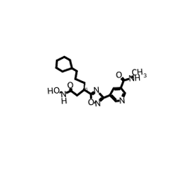 CNC(=O)c1cncc(-c2noc([C@H](CCCC3CCCCC3)CC(=O)NO)n2)c1